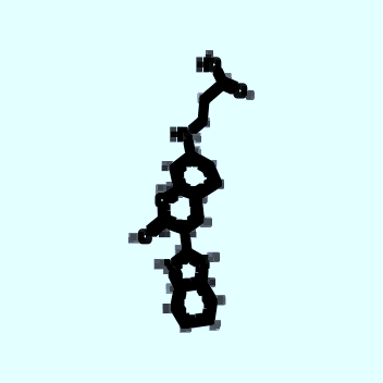 O=C(O)CCNc1ccc2cc(-c3nc4ccccc4s3)c(=O)oc2c1